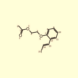 CC(=O)OCCOc1ccccc1C=CI